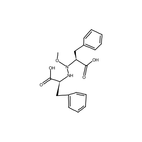 CON(N[C@@H](Cc1ccccc1)C(=O)O)[C@@H](Cc1ccccc1)C(=O)O